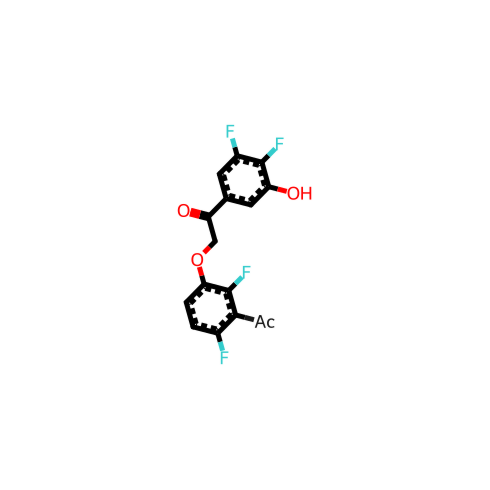 CC(=O)c1c(F)ccc(OCC(=O)c2cc(O)c(F)c(F)c2)c1F